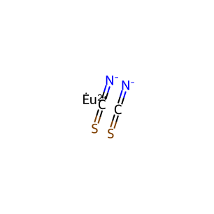 [Eu+2].[N-]=C=S.[N-]=C=S